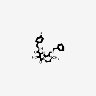 CN1CCn2c(nc(C(=O)NCc3ccc(F)cc3)c(O)c2=O)C1COCc1ccccc1